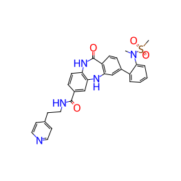 CN(c1ccccc1-c1ccc2c(c1)Nc1cc(C(=O)NCCc3ccncc3)ccc1NC2=O)S(C)(=O)=O